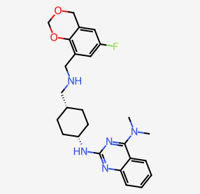 CN(C)c1nc(N[C@H]2CC[C@@H](CNCc3cc(F)cc4c3OCOC4)CC2)nc2ccccc12